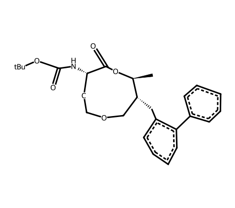 C[C@@H]1OC(=O)[C@@H](NC(=O)OC(C)(C)C)CCOC[C@H]1Cc1ccccc1-c1ccccc1